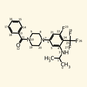 CC(C)Nc1cc(N2CCN(C(=O)c3ccccc3)CC2)cc(F)c1C(F)(F)F